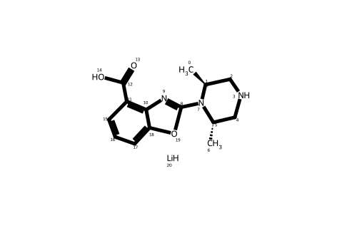 C[C@H]1CNC[C@H](C)N1c1nc2c(C(=O)O)cccc2o1.[LiH]